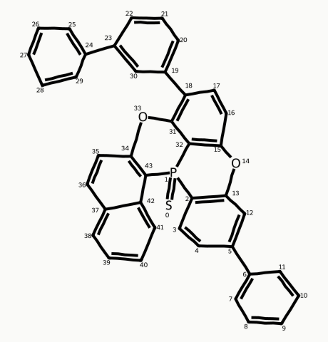 S=P12c3ccc(-c4ccccc4)cc3Oc3ccc(-c4cccc(-c5ccccc5)c4)c(c31)Oc1ccc3ccccc3c12